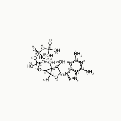 Nc1nc(N)c2ncn([C@@H]3O[C@@H]4C(OP(=O)(O)OP(=O)(O)OP(=O)(O)O)[C@]4(O)[C@H]3O)c2n1